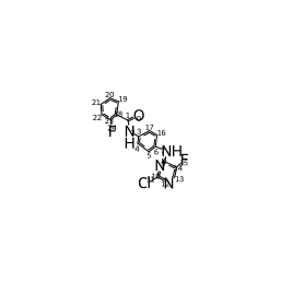 O=C(Nc1ccc(Nc2nc(Cl)ncc2F)cc1)c1ccccc1F